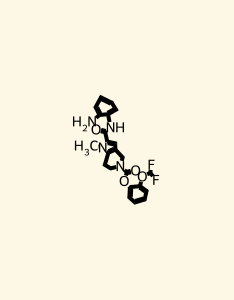 Cn1c(C(=O)Nc2ccccc2N)cc2c1CCN(C(=O)Oc1ccccc1OC(F)F)C2